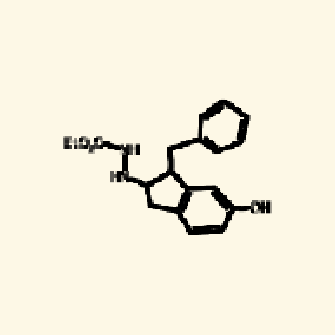 CCOC(=O)NNC1Cc2ccc(O)cc2C1Cc1ccccc1